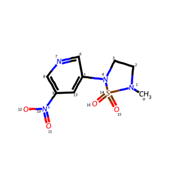 CN1CCN(c2cncc([N+](=O)[O-])c2)S1(=O)=O